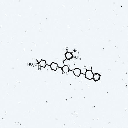 CC1(C(=O)O)CCC(C2CCN(C(=O)[C@@H](Cc3cc(Cl)c(N)c(C(F)(F)F)c3)OC(=O)N3CCC(N4CCc5ccccc5NC4=O)CC3)CC2)CN1